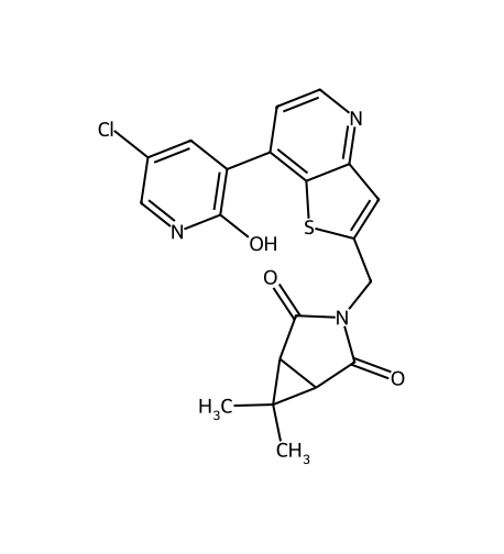 CC1(C)C2C(=O)N(Cc3cc4nccc(-c5cc(Cl)cnc5O)c4s3)C(=O)C21